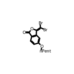 CCCCCOc1ccc2c(c1)C(=C(Br)Br)OC2=O